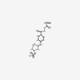 COC(=O)CCC(=O)c1ccc(S[C@@H]2CCC[C@@H](OS(C)(=O)=O)C2)cc1